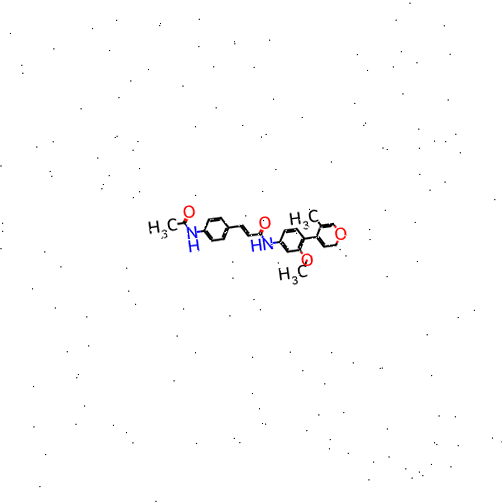 COc1cc(NC(=O)C=Cc2ccc(NC(C)=O)cc2)ccc1C1=CCOC=C1C